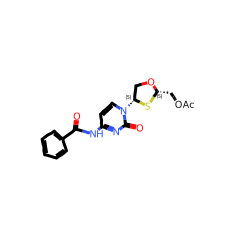 CC(=O)OC[C@H]1OC[C@@H](n2ccc(NC(=O)c3ccccc3)nc2=O)S1